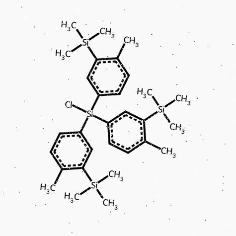 Cc1ccc([Si](Cl)(c2ccc(C)c([Si](C)(C)C)c2)c2ccc(C)c([Si](C)(C)C)c2)cc1[Si](C)(C)C